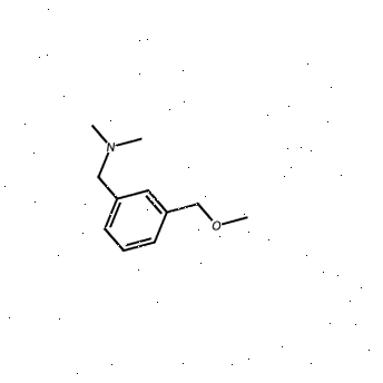 COCc1cccc(CN(C)C)c1